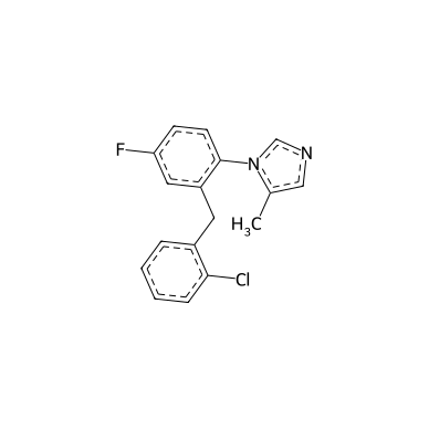 Cc1cncn1-c1ccc(F)cc1Cc1ccccc1Cl